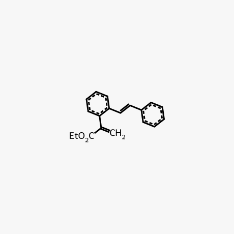 C=C(C(=O)OCC)c1ccccc1C=Cc1ccccc1